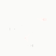 COCc1c(C)cccc1O